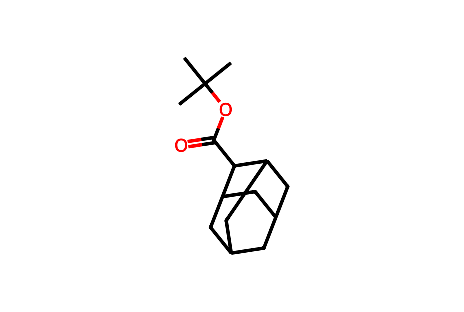 CC(C)(C)OC(=O)C1C2CC3CC(C2)CC1C3